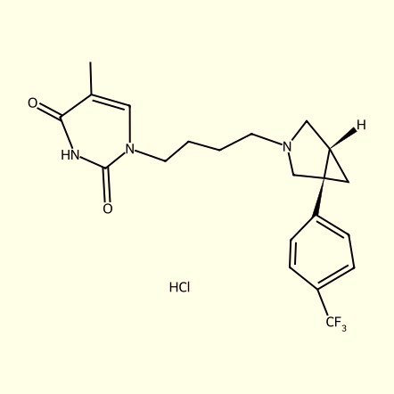 Cc1cn(CCCCN2C[C@@H]3C[C@]3(c3ccc(C(F)(F)F)cc3)C2)c(=O)[nH]c1=O.Cl